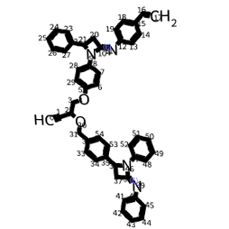 C#CC(COc1ccc(N2/C(=N/c3ccc(C=C)cc3)CC2c2ccccc2)cc1)OCc1ccc(C2C/C(=N\c3ccccc3)N2c2ccccc2)cc1